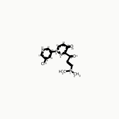 CN(C)C=CC(=O)c1nn(-c2cncc(Cl)c2)ccc1=O